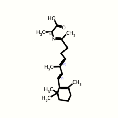 CC(CC/C=C(C)/C=C/C1=C(C)CCCC1(C)C)=N[C@@H](C)C(=O)O